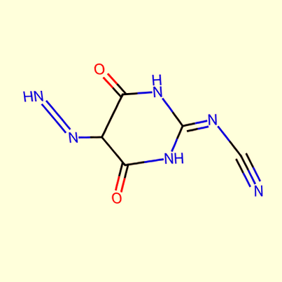 N#CN=C1NC(=O)C(N=N)C(=O)N1